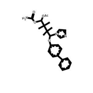 CC(=O)OC(OC(N)=O)C(C)(C)C(C)(C)C(Oc1ccc(-c2ccccc2)cc1)n1ccnc1